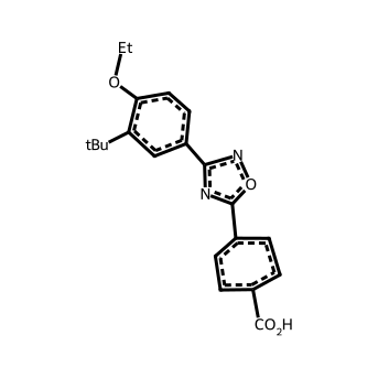 CCOc1ccc(-c2noc(-c3ccc(C(=O)O)cc3)n2)cc1C(C)(C)C